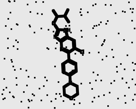 CC(C)C(C)Oc1nc2nc(-c3ccc(N4CCOCC4)cc3)c(Cl)cc2[nH]1